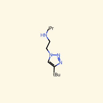 CC(C)NCCn1cc(C(C)(C)C)nn1